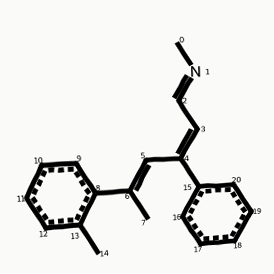 C/N=C/C=C(\C=C(/C)c1ccccc1C)c1ccccc1